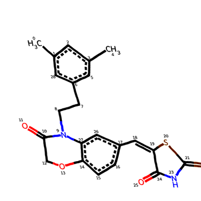 Cc1cc(C)cc(CCN2C(=O)COc3ccc(C=C4SC(=S)NC4=O)cc32)c1